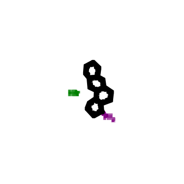 Br.Pc1cccc2c1ccc1cc3ccccc3cc12